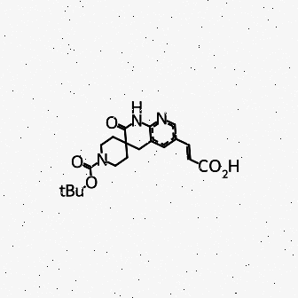 CC(C)(C)OC(=O)N1CCC2(CC1)Cc1cc(C=CC(=O)O)cnc1NC2=O